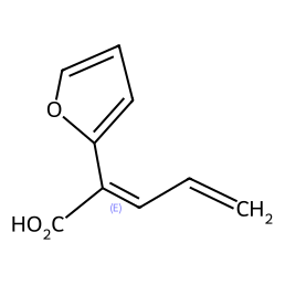 C=C/C=C(/C(=O)O)c1ccco1